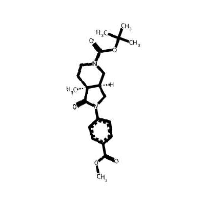 COC(=O)c1ccc(N2C[C@@H]3CN(C(=O)OC(C)(C)C)CC[C@]3(C)C2=O)cc1